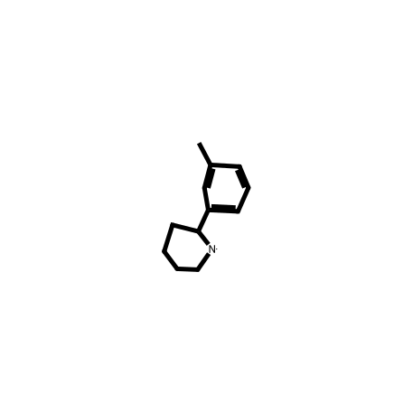 Cc1cccc(C2CCCC[N]2)c1